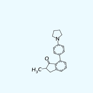 CC1Cc2cccc(-c3ccc(N4CCCC4)cc3)c2C1=O